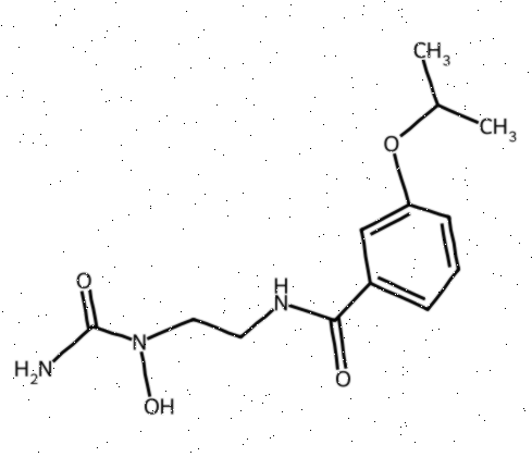 CC(C)Oc1cccc(C(=O)NCCN(O)C(N)=O)c1